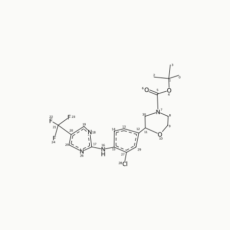 CC(C)(C)OC(=O)N1CCOC(c2ccc(Nc3ncc(C(F)(F)F)cn3)c(Cl)c2)C1